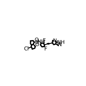 O=S(=O)(Nc1ccc(F)c(C#Cc2cnc3[nH]ncc3c2)c1F)c1cccc2c(Cl)cccc12